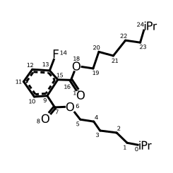 CC(C)CCCCCOC(=O)c1cccc(F)c1C(=O)OCCCCCC(C)C